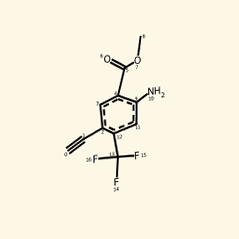 C#Cc1cc(C(=O)OC)c(N)cc1C(F)(F)F